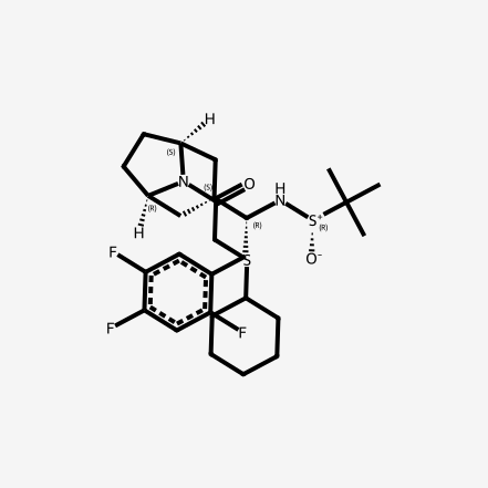 CC(C)(C)[S@+]([O-])N[C@H](Cc1cc(F)c(F)cc1F)[C@@H]1C[C@H]2CC[C@@H](C1)N2C(=O)CSC1CCCCC1